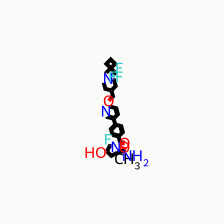 CC1(C(N)=O)CC(O)CN1C(=O)c1ccc(-c2ccc(OCC3CCN(CC4(C(F)(F)F)CCC4)CC3)nc2)cc1F